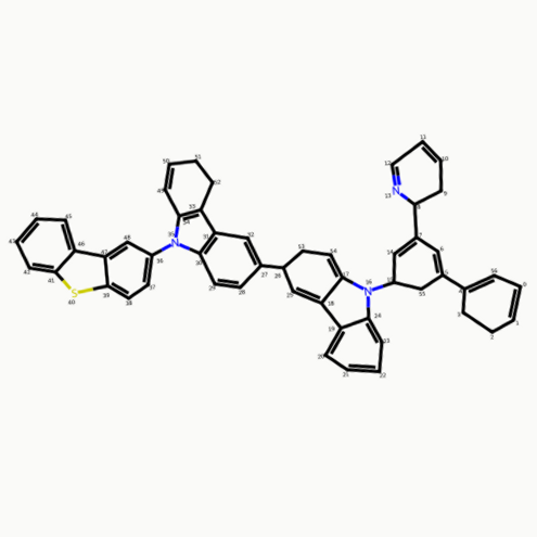 C1=CCCC(C2=CC(C3CC=CC=N3)=CC(n3c4c(c5ccccc53)=CC(c3ccc5c(c3)c3c(n5-c5ccc6sc7ccccc7c6c5)C=CCC3)CC=4)C2)=C1